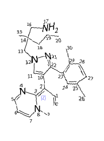 C=C/C(=C1/N=CC=CN1C)c1cn(CC(C)(CN)CCC)nc1-c1cc(C)ccc1C